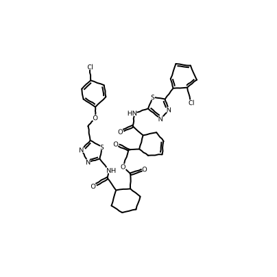 O=C(Nc1nnc(COc2ccc(Cl)cc2)s1)C1CCCCC1C(=O)OC(=O)C1CC=CCC1C(=O)Nc1nnc(-c2ccccc2Cl)s1